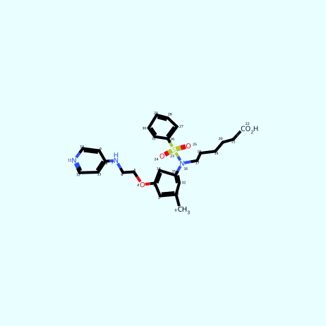 Cc1cc(OCCNc2ccncc2)cc(N(CCCCCC(=O)O)S(=O)(=O)c2ccccc2)c1